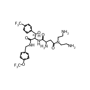 NCCN(CCN)C(=O)CC(N)C(=O)NC(C(=O)NCc1ccc(OC(F)(F)F)cc1)[C@H](O)c1ccc(C(F)(F)F)cc1